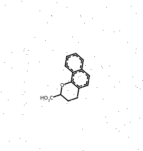 O=C(O)C1CCc2ccc3ccccc3c2O1